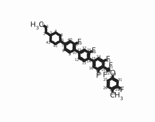 CCCC1CCC(c2ccc(-c3ccc(-c4cc(F)c(C(F)(F)Oc5ccc(C)c(F)c5)c(F)c4)c(F)c3)c(F)c2)CC1